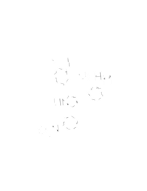 O=COC(c1cccc(Cl)c1F)C(c1cccc(Cl)c1)c1c[nH]c(-c2cccc([N+](=O)[O-])c2)c1